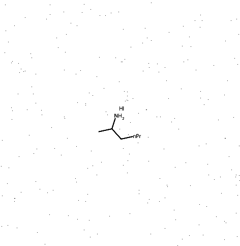 CCCCC(C)N.I